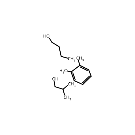 CC(C)CO.CCCCO.Cc1ccccc1C